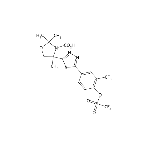 CC1(C)OCC(C)(c2nnc(-c3ccc(OS(=O)(=O)C(F)(F)F)c(C(F)(F)F)c3)s2)N1C(=O)O